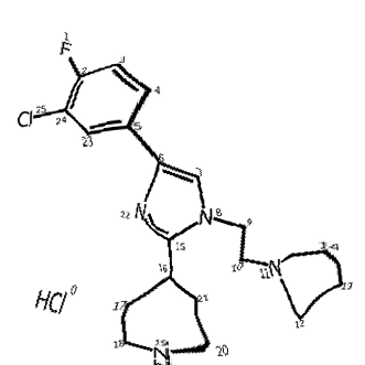 Cl.Fc1ccc(-c2cn(CCN3CCC3)c(C3CCNCC3)n2)cc1Cl